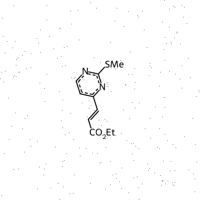 CCOC(=O)/C=C/c1ccnc(SC)n1